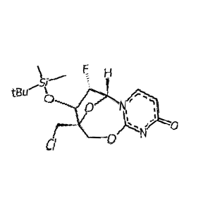 CC(C)(C)[Si](C)(C)OC1[C@H](F)[C@H]2O[C@]1(CCl)COc1nc(=O)ccn12